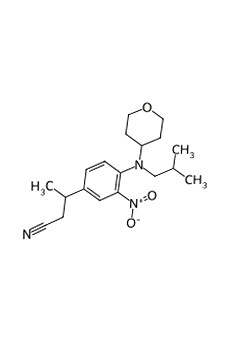 CC(C)CN(c1ccc(C(C)CC#N)cc1[N+](=O)[O-])C1CCOCC1